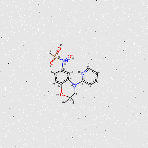 CC1(C)CN(c2ccccn2)c2cc([NH+]([O-])S(C)(=O)=O)ccc2O1